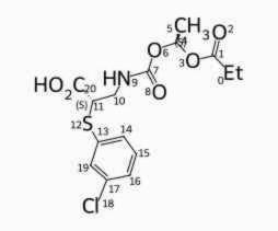 CCC(=O)O[C@H](C)OC(=O)NC[C@H](Sc1cccc(Cl)c1)C(=O)O